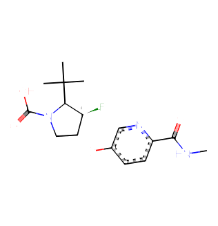 CNC(=O)c1ccc(O[C@@H]2CN(C(=O)O)C(C(C)(C)C)[C@H]2F)cn1